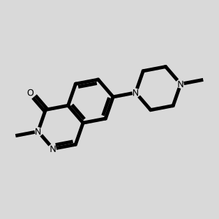 CN1CCN(c2ccc3c(=O)n(C)ncc3c2)CC1